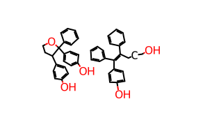 OCCC/C(=C(/c1ccccc1)c1ccc(O)cc1)c1ccccc1.Oc1ccc(C2CCOC2(c2ccccc2)c2ccc(O)cc2)cc1